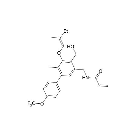 C=CC(=O)NCc1cc(-c2ccc(OC(F)(F)F)cc2)c(C)c(O/C=C(\C)CC)c1CO